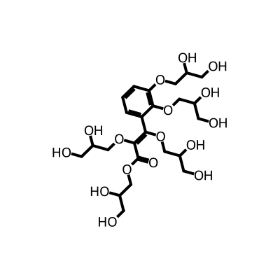 O=C(OCC(O)CO)C(OCC(O)CO)=C(OCC(O)CO)c1cccc(OCC(O)CO)c1OCC(O)CO